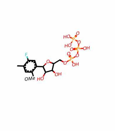 COc1cc(C)c(F)cc1C1OC(COP(=O)(O)OP(=O)(O)OP(=O)(O)O)C(O)C1O